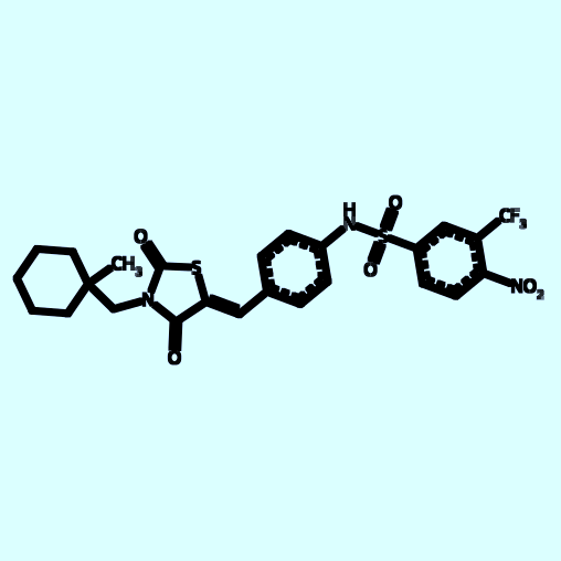 CC1(CN2C(=O)SC(=Cc3ccc(NS(=O)(=O)c4ccc([N+](=O)[O-])c(C(F)(F)F)c4)cc3)C2=O)CCCCC1